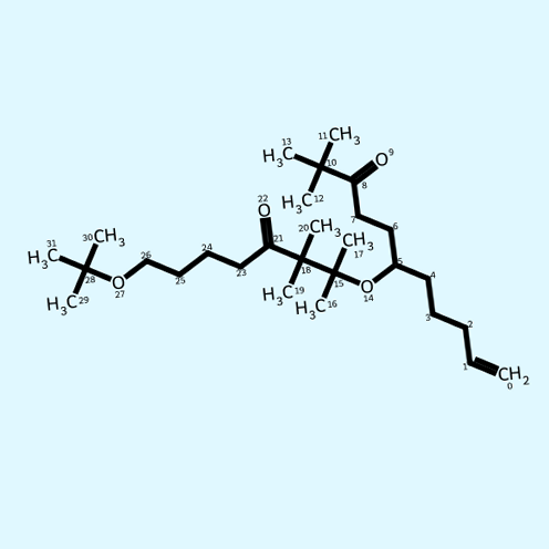 C=CCCCC(CCC(=O)C(C)(C)C)OC(C)(C)C(C)(C)C(=O)CCCCOC(C)(C)C